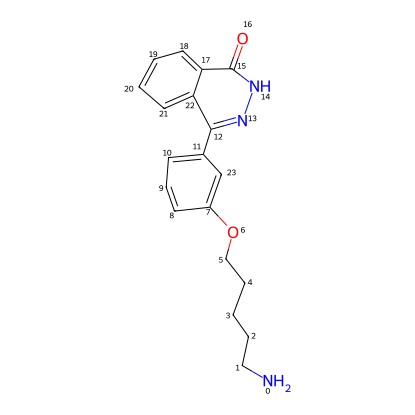 NCCCCCOc1cccc(-c2n[nH]c(=O)c3ccccc23)c1